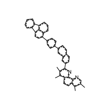 Cc1cnc2c(ccc3c(C)c(C)c(-c4ccc5ccc(-c6ccc(-c7ccc8c9c(cccc79)-c7ccccc7-8)cc6)cc5c4)nc32)c1C